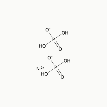 O=P([O-])(O)O.O=P([O-])(O)O.[Ni+2]